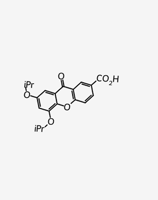 CC(C)Oc1cc(OC(C)C)c2oc3ccc(C(=O)O)cc3c(=O)c2c1